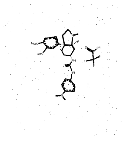 COc1ccc([C@@]23CC[C@@H](NC(=O)Nc4ccc(N(C)C)cc4)C[C@@H]2N(C)CC3)cc1OC.O=C(O)C(F)(F)F